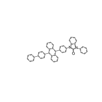 O=c1n(-c2ccccc2)c2ccccc2n1-c1ccc(-c2c3ccccc3c(-c3ccc(-c4ccccc4)cc3)c3ccccc23)cc1